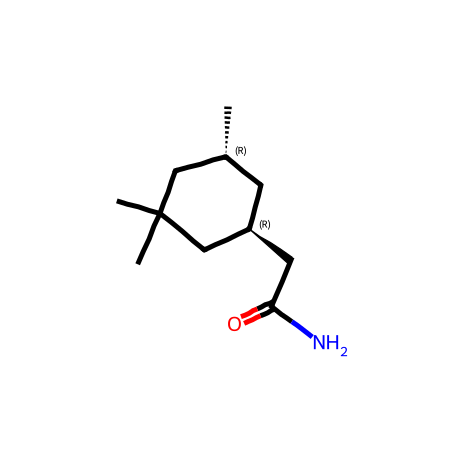 C[C@@H]1C[C@@H](CC(N)=O)CC(C)(C)C1